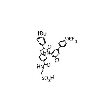 CC(C)(C)c1ccc(C(Cc2ccc(C(=O)NCCS(=O)(=O)O)cc2)C(=O)Nc2cc(Cl)cc(-c3ccc(OC(F)(F)F)cc3)c2)cc1